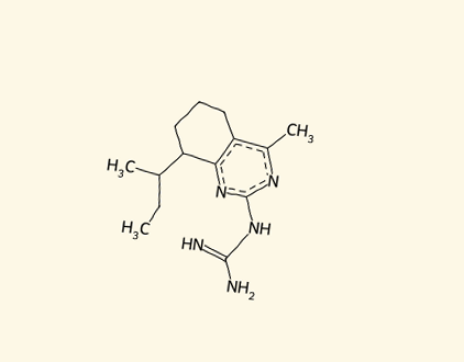 CCC(C)C1CCCc2c(C)nc(NC(=N)N)nc21